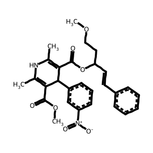 COCCC(C=Cc1ccccc1)OC(=O)C1=C(C)NC(C)=C(C(=O)OC)C1c1cccc([N+](=O)[O-])c1